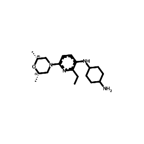 CCc1nc(N2C[C@@H](C)O[C@@H](C)C2)ccc1NC1CCC(N)CC1